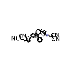 CC1(c2ccc(/C=C/C=C(C#N)C#N)o2)CCc2c(n(-c3ccccc3)c3cc(-c4ccc(CCCC(C#N)C#N)o4)ccc23)C1